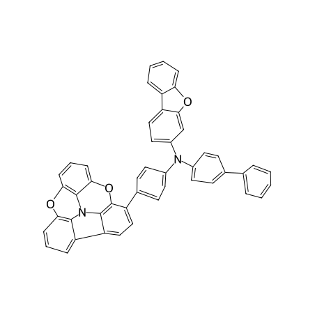 c1ccc(-c2ccc(N(c3ccc(-c4ccc5c6cccc7c6n6c5c4Oc4cccc(c4-6)O7)cc3)c3ccc4c(c3)oc3ccccc34)cc2)cc1